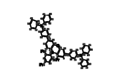 CC(C)c1cc(C(C)C)c(B2c3ccc(-c4ccc(N(c5ccccc5)c5ccccc5)cc4)cc3Oc3cc(-c4ccc(N(c5ccccc5)c5ccccc5)cc4)ccc32)c(C(C)C)c1